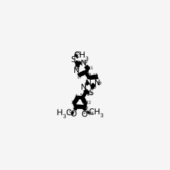 COc1ccc(-c2nn3c(-c4cnc(SC)nc4)cnc3s2)cc1OC